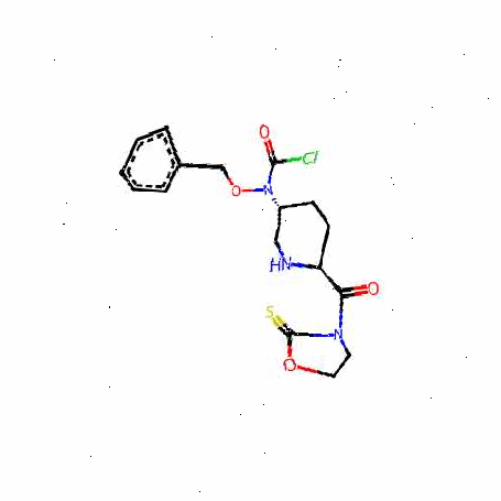 O=C([C@@H]1CC[C@@H](N(OCc2ccccc2)C(=O)Cl)CN1)N1CCOC1=S